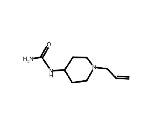 C=CCN1CCC(NC(N)=O)CC1